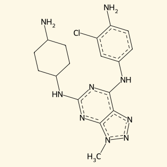 Cn1nnc2c(Nc3ccc(N)c(Cl)c3)nc(NC3CCC(N)CC3)nc21